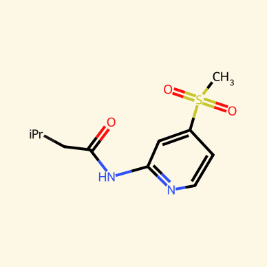 CC(C)CC(=O)Nc1cc(S(C)(=O)=O)ccn1